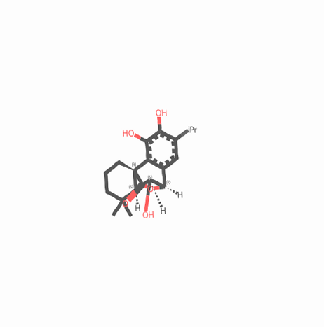 CC(C)c1cc2c(c(O)c1O)[C@@]13CCCC(C)(C)[C@@H]1[C@H](O)[C@@H]2OC3=O